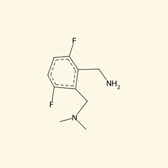 CN(C)Cc1c(F)ccc(F)c1CN